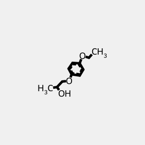 CCOc1ccc(OCC(C)O)cc1